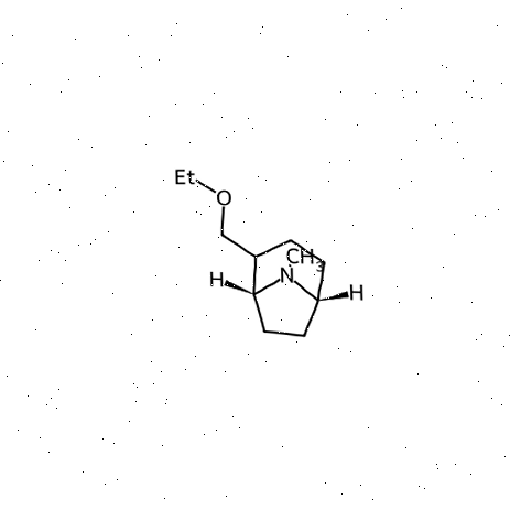 CCOCC1CC[C@@H]2CC[C@H]1N2C